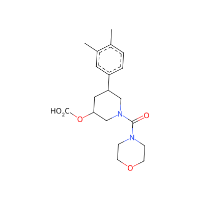 Cc1ccc(C2CC(OC(=O)O)CN(C(=O)N3CCOCC3)C2)cc1C